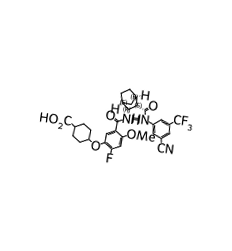 COc1cc(F)c(OC2CCC(C(=O)O)CC2)cc1C(=O)N[C@@H]1[C@H]2CC[C@H](C2)[C@@H]1C(=O)Nc1cc(C#N)cc(C(F)(F)F)c1